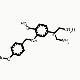 CCCCOc1ccc(CNc2cc([C@H](CN)CC(=O)O)ccc2Cl)cc1.Cl